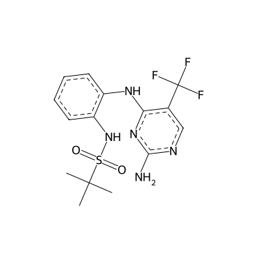 CC(C)(C)S(=O)(=O)Nc1ccccc1Nc1nc(N)ncc1C(F)(F)F